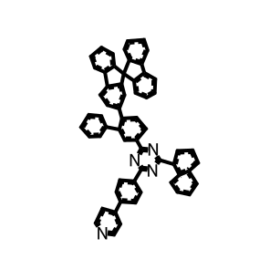 c1ccc(-c2cc(-c3nc(-c4ccc(-c5ccncc5)cc4)nc(-c4cccc5ccccc45)n3)ccc2-c2ccc3c(c2)C2(c4ccccc4-c4ccccc42)c2ccccc2-3)cc1